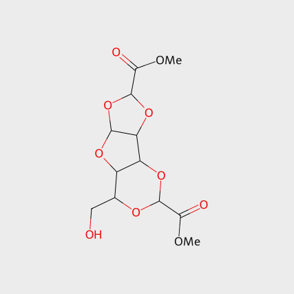 COC(=O)C1OC2OC3C(CO)OC(C(=O)OC)OC3C2O1